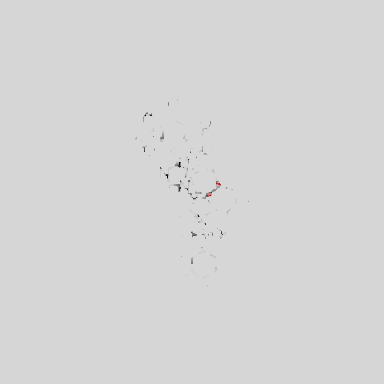 COC1=CC(C=O)(S(=O)(=O)c2ccccc2)C(c2cn(-c3cn(S(=O)(=O)c4ccccc4)c4ccccc34)cn2)C(OC)=C1OC